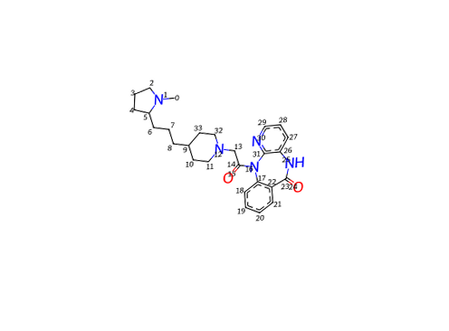 CN1CCCC1CCCC1CCN(CC(=O)N2c3ccccc3C(=O)Nc3cccnc32)CC1